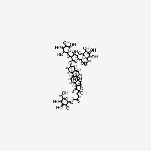 C[C@H](CCC1(O)OC2C[C@H]3[C@@H]4CC=C5CC(O[C@@H]6OC(CO)[C@@H](O[C@@H]7OC(CO)[C@@H](O)[C@H](O)C7O)[C@H](O)C6O[C@@H]6OC(O)[C@H](O)[C@H](O)C6O)CC[C@]5(C)[C@H]4CC[C@]3(C)[C@H]2[C@@H]1C)CO[C@@H]1OC(CO)[C@@H](O)[C@H](O)C1O